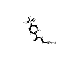 C=C(C=CCCCCC)c1ccc(S(C)(=O)=O)cn1